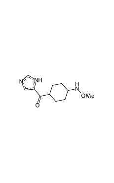 CONC1CCC(C(=O)c2cnc[nH]2)CC1